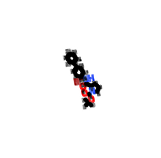 CC(C)(C)OC(=O)N1CCCC1C(=O)NC1(Br)C=CC(c2ccccc2)=CC1